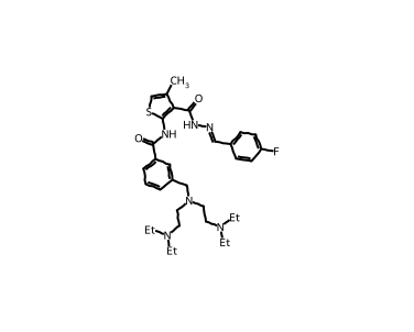 CCN(CC)CCN(CCN(CC)CC)Cc1cccc(C(=O)Nc2scc(C)c2C(=O)NN=Cc2ccc(F)cc2)c1